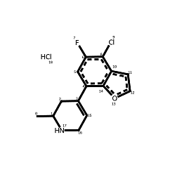 CC1CC(c2cc(F)c(Cl)c3ccoc23)=CCN1.Cl